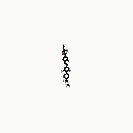 CCCC12COC(c3ccc(/C=C/c4cc(F)c(C5CCC(C(F)(F)OC(F)(F)F)CC5)c(F)c4)c(F)c3)(OC1)O2